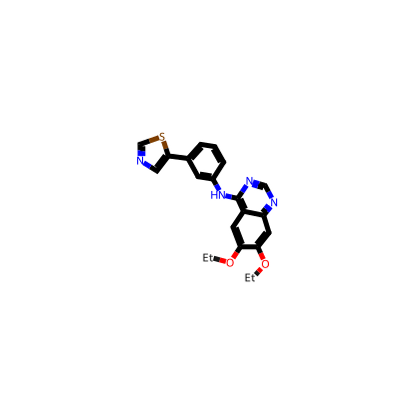 CCOc1cc2ncnc(Nc3cccc(-c4cncs4)c3)c2cc1OCC